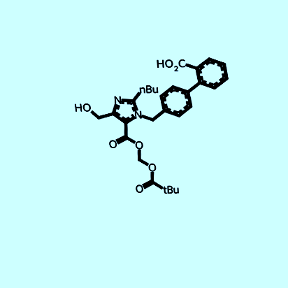 CCCCc1nc(CO)c(C(=O)OCOC(=O)C(C)(C)C)n1Cc1ccc(-c2ccccc2C(=O)O)cc1